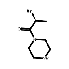 CC(C)[C@@H](C)C(=O)N1CCNCC1